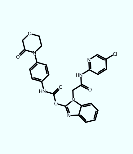 O=C(Cn1c(OC(=O)Nc2ccc(N3CCOCC3=O)cc2)nc2ccccc21)Nc1ccc(Cl)cn1